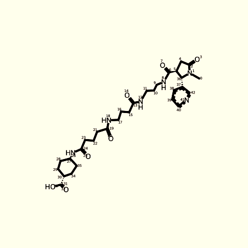 CN1C(=O)C[C@H](C(=O)NCCCNC(=O)CCCNC(=O)CCCC(=O)N[C@H]2CC[C@@H](C(=O)O)CC2)[C@H]1c1cccnc1